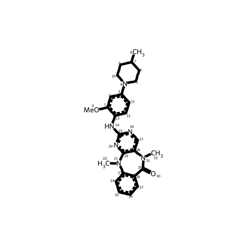 COc1cc(N2CCC(C)CC2)ccc1Nc1ncc2c(n1)N(C)c1ccccc1C(=O)N2C